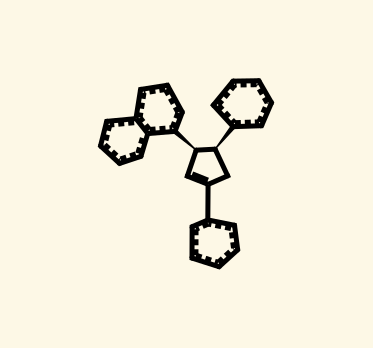 C1=C(c2ccccc2)C[C@H](c2ccccc2)[C@@H]1c1cccc2ccccc12